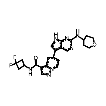 O=C(NC1CC(F)(F)C1)c1cnn2ccc(-c3c[nH]c4nc(NC5CCOCC5)ncc34)cc12